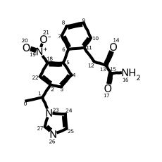 CC(c1ccc(-c2ccccc2CC(=O)C(N)=O)c([N+](=O)[O-])c1)n1ccnc1